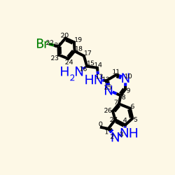 Cc1n[nH]c2ccc(-c3cncc(NC[C@@H](N)Cc4ccc(Br)cc4)n3)cc12